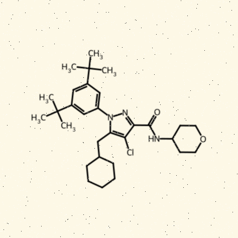 CC(C)(C)c1cc(-n2nc(C(=O)NC3CCOCC3)c(Cl)c2CC2CCCCC2)cc(C(C)(C)C)c1